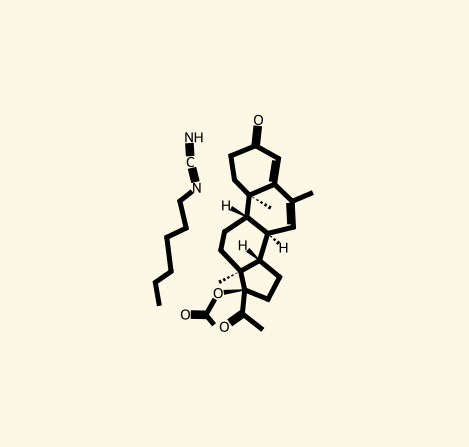 CC(=O)O[C@]1(C(C)=O)CC[C@H]2[C@@H]3C=C(C)C4=CC(=O)CC[C@]4(C)[C@H]3CC[C@@]21C.CCCCCCN=C=N